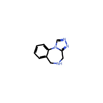 c1ccc2c(c1)CNCc1nncn1-2